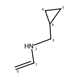 C=CNCC1CC1